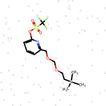 C[Si](C)(C)CCOCOCc1cccc(OS(=O)(=O)C(F)(F)F)n1